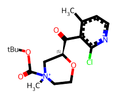 Cc1ccnc(Cl)c1C(=O)[C@@H]1C[N+](C)(C(=O)OC(C)(C)C)CCO1